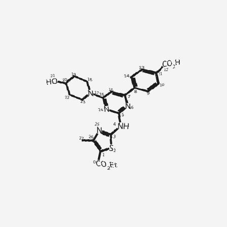 CCOC(=O)c1sc(Nc2nc(-c3ccc(C(=O)O)cc3)cc(N3CCC(O)CC3)n2)nc1C